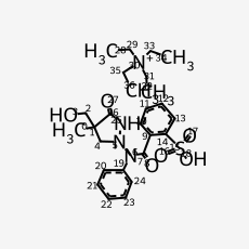 CC1(CO)CN(N(C(=O)c2ccccc2S(=O)(=O)O)c2ccccc2)NC1=O.CC[N+](CC)(CC)CC